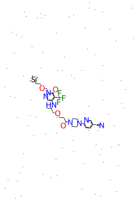 CC(COCCC(=O)N1CCN(c2ccc(C#N)cn2)CC1)Nc1cnn(COCC[Si](C)(C)C)c(=O)c1C(F)(F)F